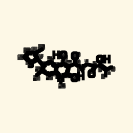 CC(C)=C(O)C(=O)CNC(=O)c1c(O)c2cc(-c3sccc3C)c(C)cc2n(C)c1=O